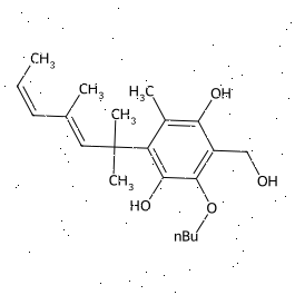 C/C=C\C(C)=C\C(C)(C)c1c(C)c(O)c(CO)c(OCCCC)c1O